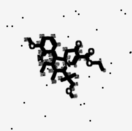 CCOC(=O)C1=CN(C(CC)C(C)(C)COC)C(/C(=C2\C=CC=C(OC)\C2=N\C)C(C)CC)CC1=O